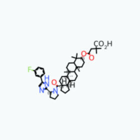 CC(C)(CC(=O)O[C@H]1CC[C@@]2(C)C(CC[C@]3(C)C2CC[C@@H]2[C@H]4CCC[C@]4(C(=O)N4CCC[C@H]4c4ncc(-c5cccc(F)c5)[nH]4)CC[C@]23C)C1(C)C)C(=O)O